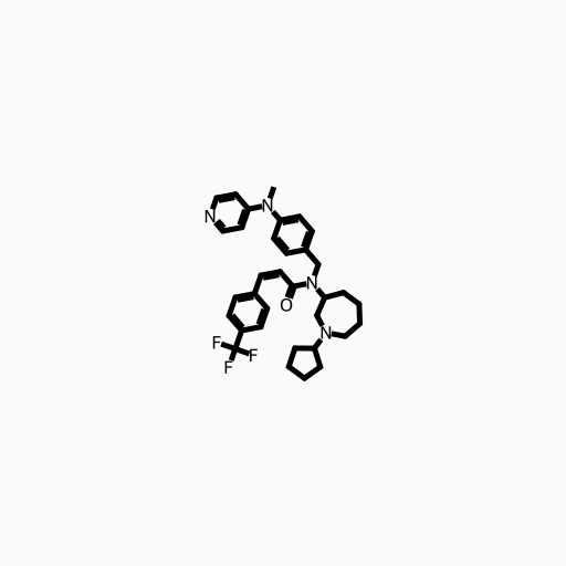 CN(c1ccncc1)c1ccc(CN(C(=O)C=Cc2ccc(C(F)(F)F)cc2)C2CCCCN(C3CCCC3)C2)cc1